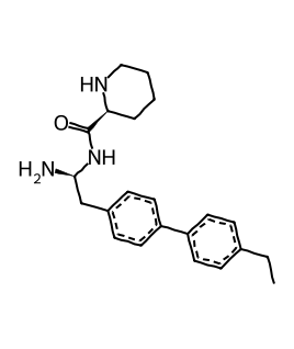 CCc1ccc(-c2ccc(C[C@@H](N)NC(=O)[C@@H]3CCCCN3)cc2)cc1